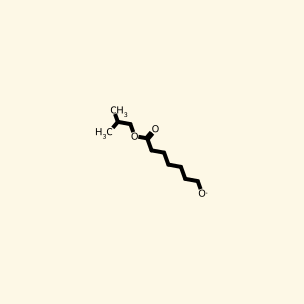 CC(C)COC(=O)CCCCCC[O]